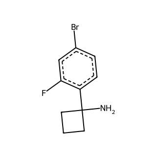 NC1(c2ccc(Br)cc2F)CCC1